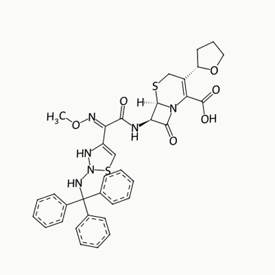 CO/N=C(/C(=O)N[C@@H]1C(=O)N2C(C(=O)O)=C([C@@H]3CCCO3)CS[C@H]12)C1=CSN(NC(c2ccccc2)(c2ccccc2)c2ccccc2)N1